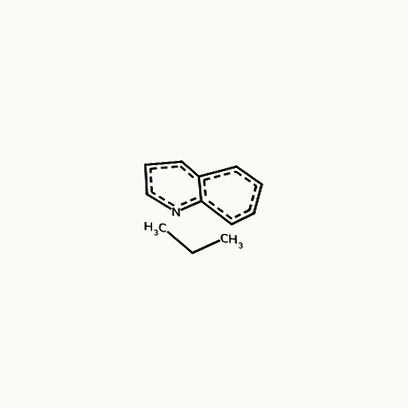 CCC.c1ccc2ncccc2c1